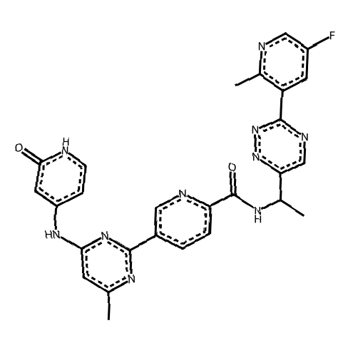 Cc1cc(Nc2cc[nH]c(=O)c2)nc(-c2ccc(C(=O)NC(C)c3cnc(-c4cc(F)cnc4C)nn3)nc2)n1